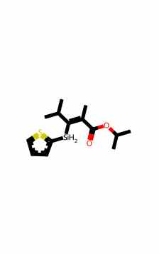 CC(C(=O)OC(C)C)=C([SiH2]c1cccs1)C(C)C